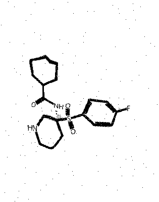 O=C(N[C@]1(S(=O)(=O)c2ccc(F)cc2)CCCNC1)C1CCCCC1